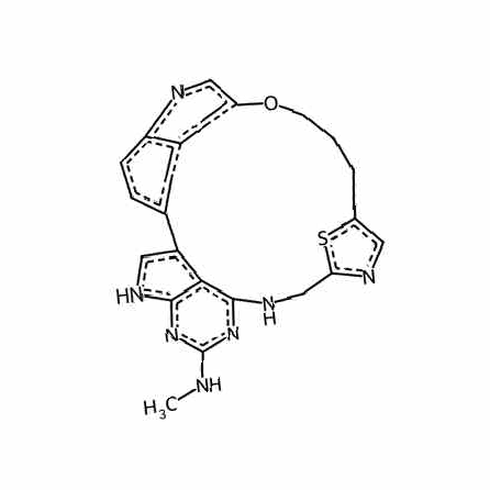 CNc1nc2c3c(c[nH]c3n1)-c1ccc3ncc(cc3c1)OCCCc1cnc(s1)CN2